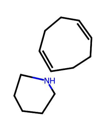 C1=CCCC=CCC1.C1CCNCC1